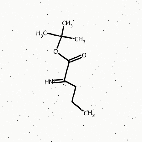 CCCC(=N)C(=O)OC(C)(C)C